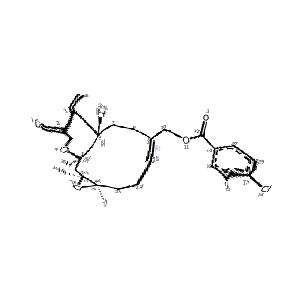 C=C1C(=O)O[C@H]2[C@H]1CC/C(COC(=O)c1ccc(Cl)cc1)=C\CC[C@@]1(C)O[C@@H]21